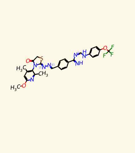 COc1cc(C)c(N2C(=O)CS/C2=N\N=C\c2ccc(C(=N)/N=C\Nc3ccc(OC(F)(F)F)cc3)cc2)c(C)n1